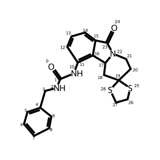 O=C(NCc1ccccc1)Nc1cccc2c1C1CC3(CCN1C2=O)SCCS3